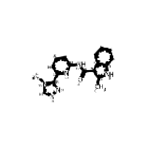 Cc1[nH]c2ccccc2c1C(=O)Nc1cccc(-c2nncn2C(C)C)n1